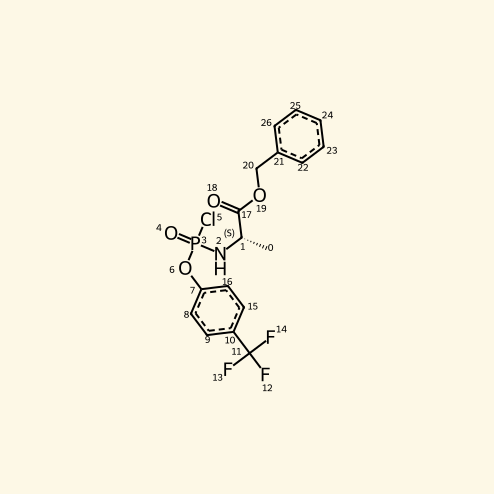 C[C@H](NP(=O)(Cl)Oc1ccc(C(F)(F)F)cc1)C(=O)OCc1ccccc1